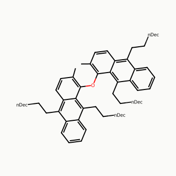 CCCCCCCCCCCCc1c2ccccc2c(CCCCCCCCCCCC)c2c(Oc3c(C)ccc4c(CCCCCCCCCCCC)c5ccccc5c(CCCCCCCCCCCC)c34)c(C)ccc12